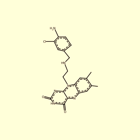 Cc1cc2nc3c(=O)[nH]c(=O)nc-3n(CCNCc3ccc(N)c(Cl)c3)c2cc1C